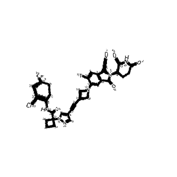 O=C1CCC(N2C(=O)c3cc(F)c(N4CC(C#Cc5cnn(C6(C(=O)Nc7ccc(C(F)(F)F)cc7Cl)CCC6)c5)C4)cc3C2=O)C(=O)N1